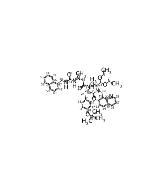 CCOC(OCC)[C@H](C)N(Cc1cccc2cccnc12)C(=O)[C@H](Cc1ccc(OC(C)(C)C)cc1)NC(=O)CN(C)NC(=O)NCc1cccc2ccccc12